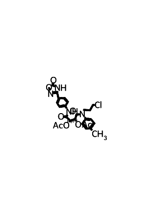 CC(=O)O[C@@H](C(=O)Nc1ccc(-c2noc(=O)[nH]2)cc1)[C@@H](OC(C)=O)C(=O)N(CCCCl)c1ccc(C)cc1